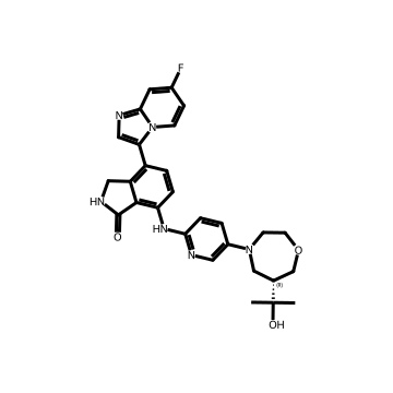 CC(C)(O)[C@H]1COCCN(c2ccc(Nc3ccc(-c4cnc5cc(F)ccn45)c4c3C(=O)NC4)nc2)C1